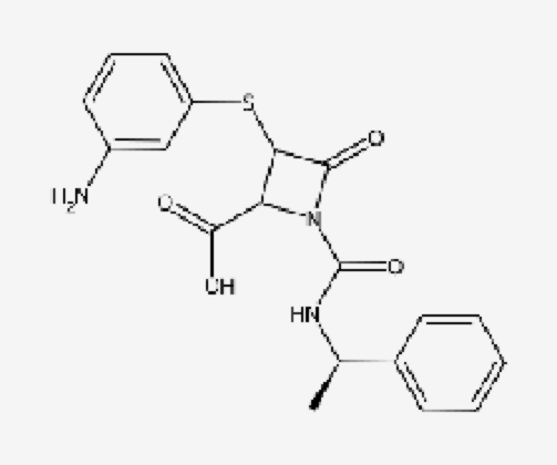 C[C@@H](NC(=O)N1C(=O)C(Sc2cccc(N)c2)C1C(=O)O)c1ccccc1